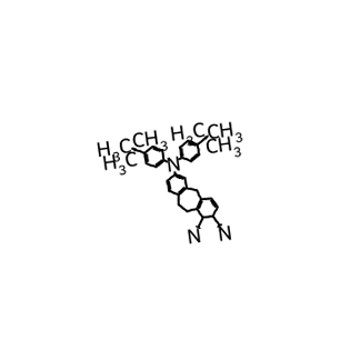 CC(C)(C)c1ccc(N(c2ccc(C(C)(C)C)cc2)c2ccc3c(c2)CC2=C(CC3)C(C#N)C(C#N)C=C2)cc1